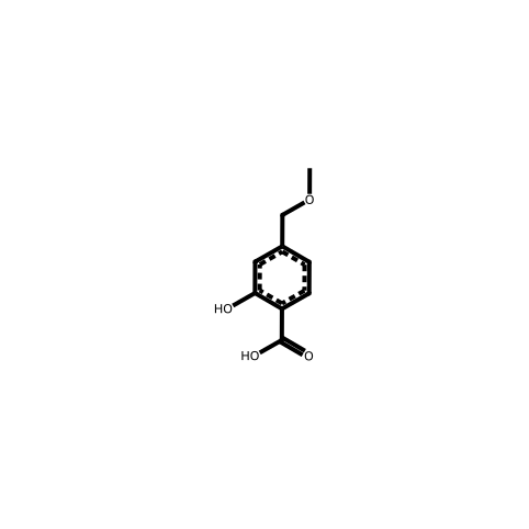 COCc1ccc(C(=O)O)c(O)c1